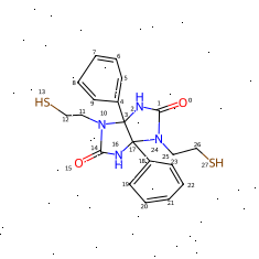 O=C1NC2(c3ccccc3)N(CCS)C(=O)NC2(c2ccccc2)N1CCS